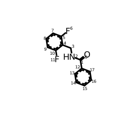 O=C(NCc1c(F)cccc1F)c1ccccc1